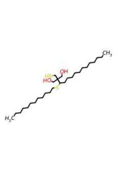 CCCCCCCCCCCCSC(CCCCCCCCCCCC)C(CO)(CO)CS